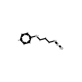 O=C=NCCCSc1ccccc1